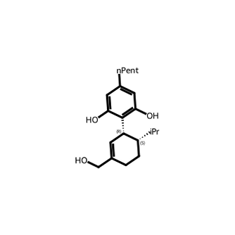 CCCCCc1cc(O)c([C@H]2C=C(CO)CC[C@H]2C(C)C)c(O)c1